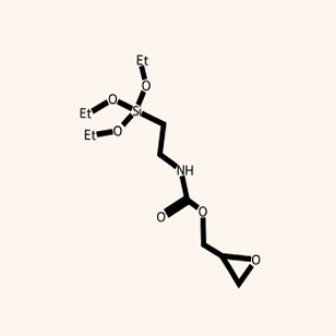 CCO[Si](CCNC(=O)OCC1CO1)(OCC)OCC